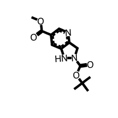 COC(=O)c1cnc2c(c1)NN(C(=O)OC(C)(C)C)C2